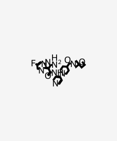 Nc1nn2cc(F)cnc2c1C(=O)Nc1cnccc1N1CCC(C(=O)N2CC3(CCO3)C2)CC1